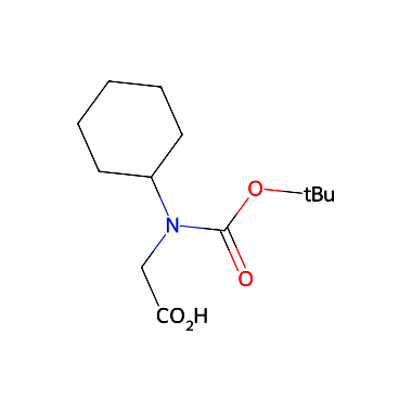 CC(C)(C)OC(=O)N(CC(=O)O)C1CCCCC1